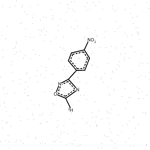 [2H]c1nc(-c2ccc([N+](=O)[O-])cc2)no1